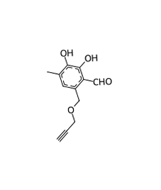 C#CCOCc1cc(C)c(O)c(O)c1C=O